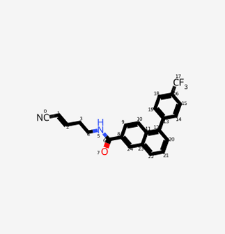 N#C/C=C/CCNC(=O)c1ccc2c(-c3ccc(C(F)(F)F)cc3)cccc2c1